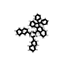 c1ccc(C2(c3ccccc3)c3ccccc3-c3c2cc2ccccc2c3-c2nc(-c3ccc4ccccc4c3)nc(-c3ccc4ccccc4c3)n2)cc1